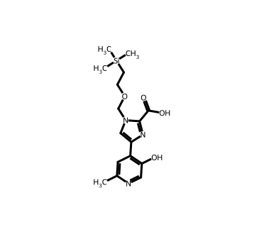 Cc1cc(-c2cn(COCC[Si](C)(C)C)c(C(=O)O)n2)c(O)cn1